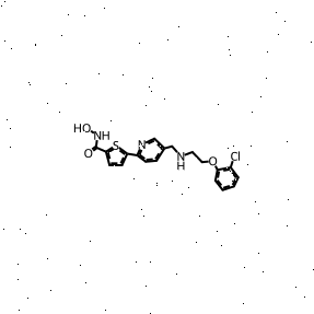 O=C(NO)c1ccc(-c2ccc(CNCCOc3ccccc3Cl)cn2)s1